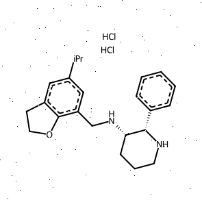 CC(C)c1cc2c(c(CN[C@H]3CCCN[C@H]3c3ccccc3)c1)OCC2.Cl.Cl